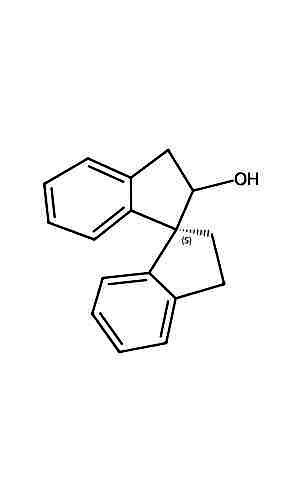 OC1Cc2ccccc2[C@@]12CCc1ccccc12